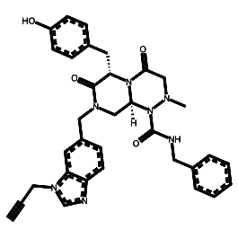 C#CCn1cnc2ccc(CN3C[C@H]4N(C(=O)CN(C)N4C(=O)NCc4ccccc4)[C@@H](Cc4ccc(O)cc4)C3=O)cc21